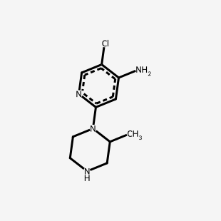 CC1CNCCN1c1cc(N)c(Cl)cn1